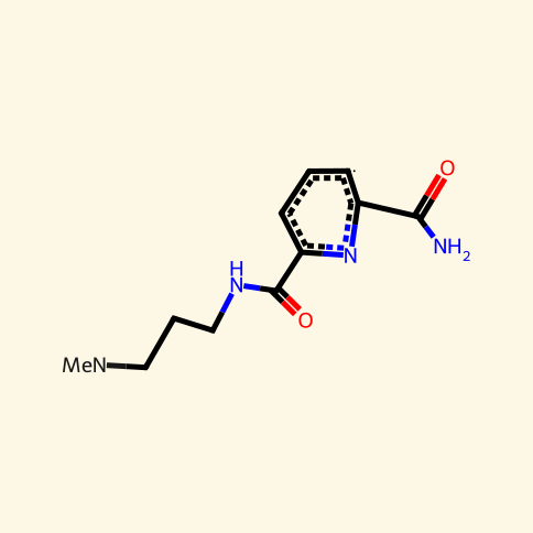 CNCCCNC(=O)c1cc[c]c(C(N)=O)n1